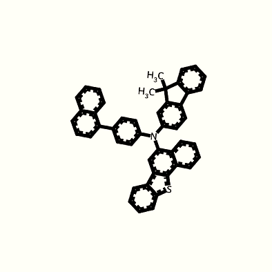 CC1(C)c2ccccc2-c2ccc(N(c3ccc(-c4cccc5ccccc45)cc3)c3cc4c5ccccc5sc4c4ccccc34)cc21